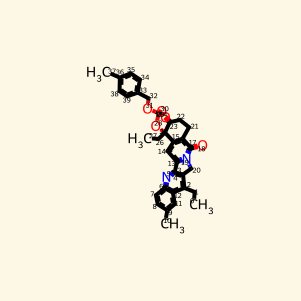 CCc1c2c(nc3ccc(C)cc13)-c1cc3c(c(=O)n1C2)CCC(=O)C3(CC)OC(=O)OCc1ccc(C)cc1